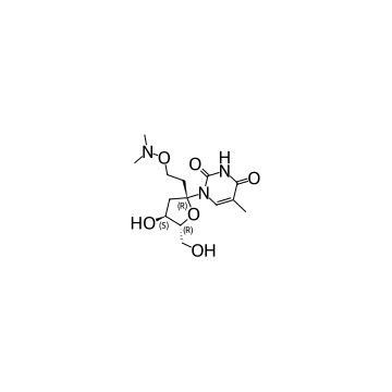 Cc1cn([C@@]2(CCON(C)C)C[C@H](O)[C@@H](CO)O2)c(=O)[nH]c1=O